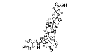 CC(C)C1=C2[C@H]3CC[C@@H]4[C@@]5(C)CC[C@H](OC(=O)[C@H]6C[C@@H](C(=O)O)C6(C)C)C(C)(C)[C@@H]5CC[C@@]4(C)[C@]3(C)CC[C@@]2(CC(=O)NCc2ccc(F)cc2)CC1=O